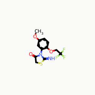 COc1ccc(OCC(F)(F)F)c(N2C(=N)SCC2=O)c1